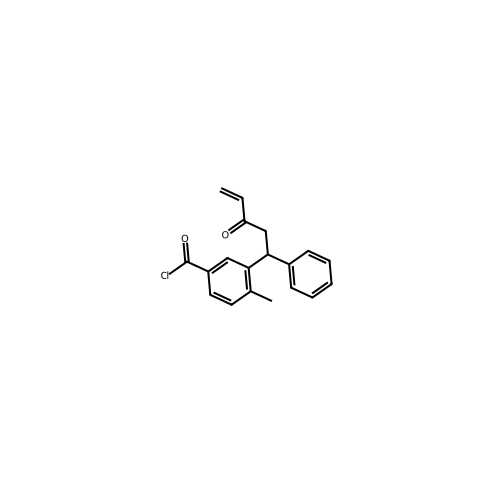 C=CC(=O)CC(c1ccccc1)c1cc(C(=O)Cl)ccc1C